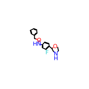 Fc1cc(NOCc2ccccc2)ccc1C1CNCCO1